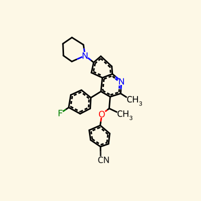 Cc1nc2ccc(N3CCCCC3)cc2c(-c2ccc(F)cc2)c1C(C)Oc1ccc(C#N)cc1